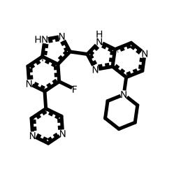 Fc1c(-c2cncnc2)ncc2[nH]nc(-c3nc4c(N5CCCCC5)cncc4[nH]3)c12